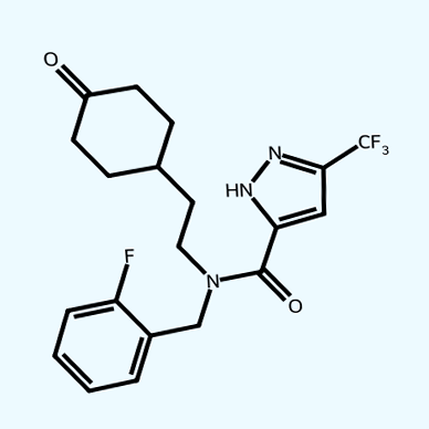 O=C1CCC(CCN(Cc2ccccc2F)C(=O)c2cc(C(F)(F)F)n[nH]2)CC1